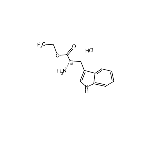 Cl.N[C@@H](Cc1c[nH]c2ccccc12)C(=O)OCC(F)(F)F